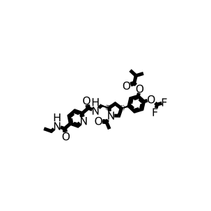 CCNC(=O)c1ccc(C(=O)NC[C@H]2C[C@@H](c3ccc(OC(F)F)c(OC(=O)C(C)C)c3)CN2C(C)=O)nc1